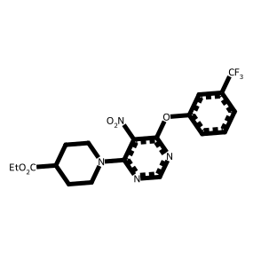 CCOC(=O)C1CCN(c2ncnc(Oc3cccc(C(F)(F)F)c3)c2[N+](=O)[O-])CC1